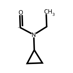 CCN([C]=O)C1CC1